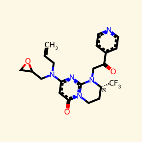 C=CCN(CC1CO1)c1cc(=O)n2c(n1)N(CC(=O)c1ccncc1)[C@H](C(F)(F)F)CC2